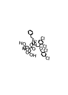 Clc1ccc(COC(Cn2cc[n+](CCc3ccccc3)c2)c2ccc(Cl)cc2Cl)c(Cl)c1.O=C(O)CC(O)(CC(=O)O)C(=O)[O-]